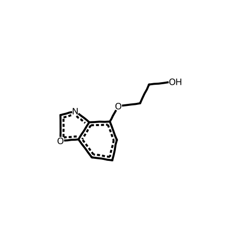 OCCOc1cccc2ocnc12